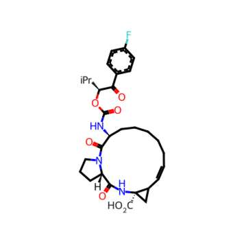 CC(C)[C@H](OC(=O)N[C@H]1CCCCC/C=C\C2C[C@@]2(C(=O)O)NC(=O)[C@@H]2CCCN2C1=O)C(=O)c1ccc(F)cc1